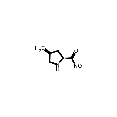 C=C1CN[C@H](C(=O)N=O)C1